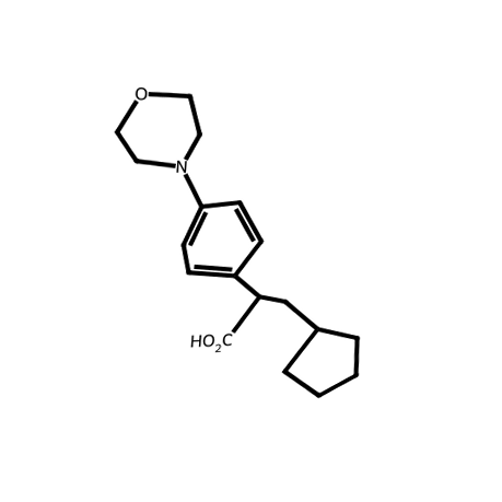 O=C(O)C(CC1CCCC1)c1ccc(N2CCOCC2)cc1